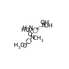 COc1ccc(N(C)CC2CC[C@@H](CCB(O)O)C[C@]2(N)C(=O)O)cc1